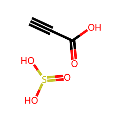 C#CC(=O)O.O=S(O)O